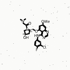 COc1cc(OC[C@@H]2C[C@H](O)CN2C(=O)CN(C)C)c2c(Nc3ccc(F)c(Cl)c3)ncnc2c1